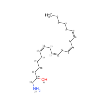 CCCCC/C=C\C/C=C\C/C=C\C/C=C\CCCCC(O)CN